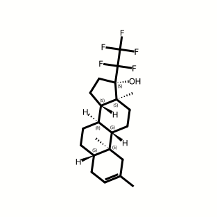 CC1=CC[C@@H]2CC[C@@H]3[C@H](CC[C@@]4(C)[C@H]3CC[C@@]4(O)C(F)(F)C(F)(F)F)[C@@]2(C)C1